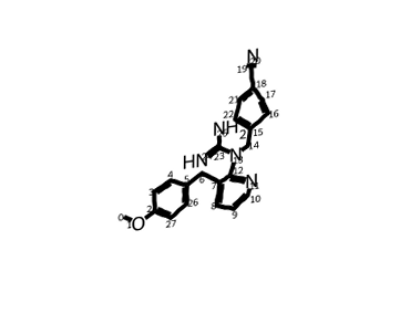 COc1ccc(Cc2cccnc2N(Cc2ccc(C#N)cc2)C(=N)N)cc1